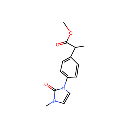 COC(=O)C(C)c1ccc(-n2ccn(C)c2=O)cc1